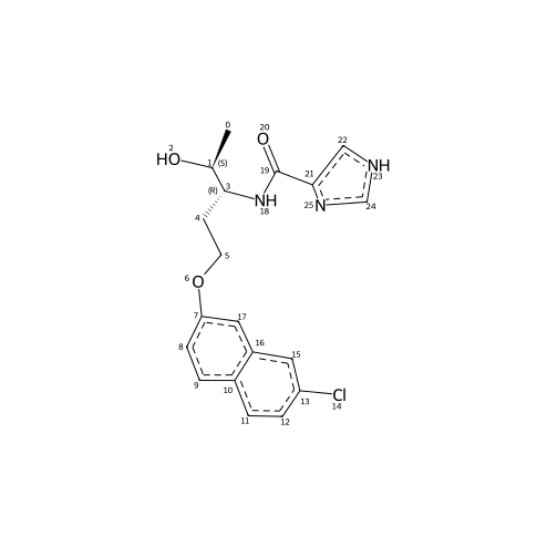 C[C@H](O)[C@@H](CCOc1ccc2ccc(Cl)cc2c1)NC(=O)c1c[nH]cn1